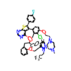 Cc1c(-c2c(-c3ccc(F)cc3)sc3ncnc(OC(Cc4ccccc4OCc4ccnn4CC(F)(F)F)C(=O)O)c23)ccc(OCCN2CCN(C)CC2)c1Cl